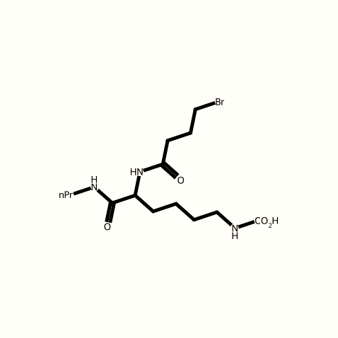 CCCNC(=O)C(CCCCNC(=O)O)NC(=O)CCCBr